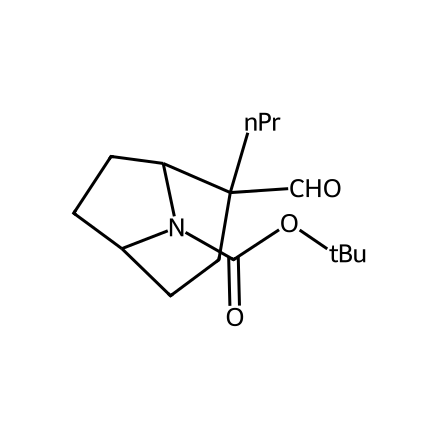 CCCC1(C=O)CCC2CCC1N2C(=O)OC(C)(C)C